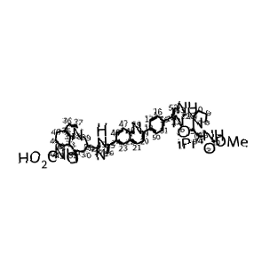 COC(=O)N[C@H](C(=O)N1CCC[C@H]1c1nc(-c2ccc(-c3ccc4cc(-c5cnc([C@H]6CC(=O)C7c8c(ccn8C6)CC[C@@H]7NC(=O)O)[nH]5)ccc4n3)cc2)c[nH]1)C(C)C